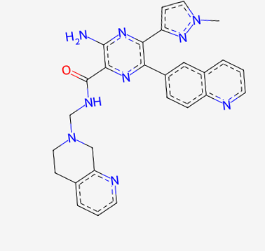 Cn1ccc(-c2nc(N)c(C(=O)NCN3CCc4cccnc4C3)nc2-c2ccc3ncccc3c2)n1